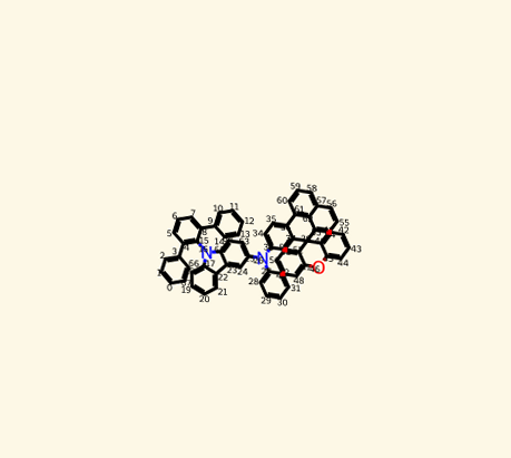 c1ccc(-c2cccc(-c3ccccc3)c2-n2c3ccccc3c3cc(N(c4ccccc4)c4ccc5c(c4)C4(c6ccccc6Oc6ccccc64)c4cccc6cccc-5c46)ccc32)cc1